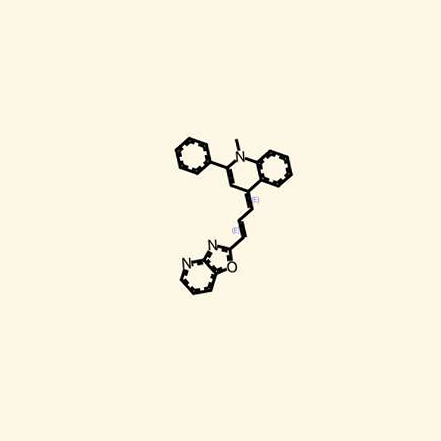 CN1C(c2ccccc2)=C/C(=C\C=C\c2nc3ncccc3o2)c2ccccc21